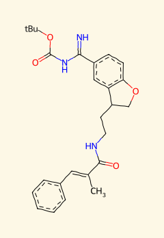 CC(=Cc1ccccc1)C(=O)NCCC1COc2ccc(C(=N)NC(=O)OC(C)(C)C)cc21